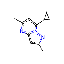 Cc1cc(C2CC2)n2nc(C)cc2n1